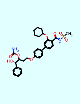 CS(=O)(=O)NC(=O)c1ccc(-c2ccc(OCCC(OC(N)=O)[C@H](O)c3ccccc3)cc2)cc1OC1CCCCC1